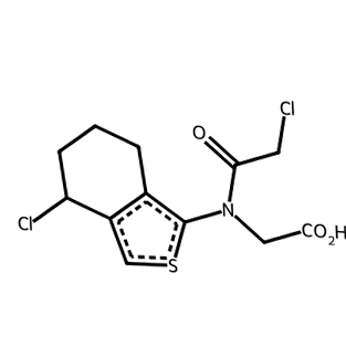 O=C(O)CN(C(=O)CCl)c1scc2c1CCCC2Cl